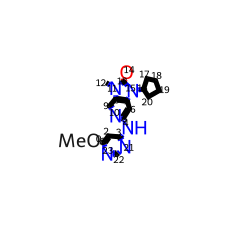 COc1cc(Nc2cc3c(cn2)n(C)c(=O)n3C2CCCC2)ncn1